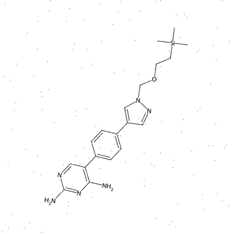 C[Si](C)(C)CCOCn1cc(-c2ccc(-c3cnc(N)nc3N)cc2)cn1